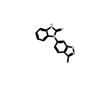 Cc1noc2cc(-n3c(=O)[nH]c4ccccc43)ccc12